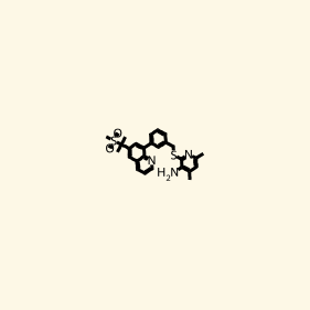 Cc1cc(C)c(N)c(SCc2cccc(-c3cc(C(C)(C)S(C)(=O)=O)cc4cccnc34)c2)n1